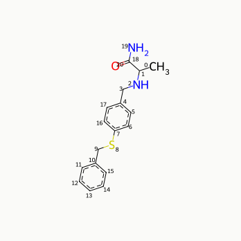 CC(NCc1ccc(SCc2ccccc2)cc1)C(N)=O